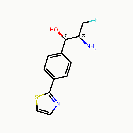 N[C@H](CF)[C@H](O)c1ccc(-c2nccs2)cc1